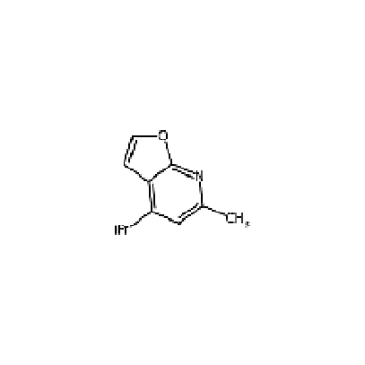 Cc1cc(C(C)C)c2ccoc2n1